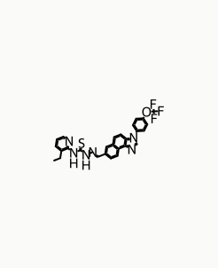 CCc1cccnc1NC(=S)NN=Cc1ccc2c(ccc3c2ncn3-c2ccc(OC(F)(F)F)cc2)c1